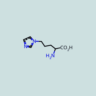 NC(CCCn1ccnc1)C(=O)O